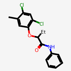 CCC(Oc1cc(C)c(Cl)cc1Cl)C(=O)Nc1ccccc1